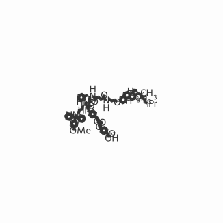 COc1ccc(C(NCCCC[C@@H](NC(=O)[C@@H](Cc2ccccc2)NC(=O)CCC(=O)NCCCO[C@H]2CC[C@@]3(C)C(=CCC4[C@@H]5CC[C@H]([C@H](C)CCCC(C)C)[C@@]5(C)CC[C@@H]43)C2)C(=O)Nc2ccc(COC(=O)Oc3ccc([N+](=O)O)cc3)cc2)(c2ccccc2)c2ccccc2)cc1